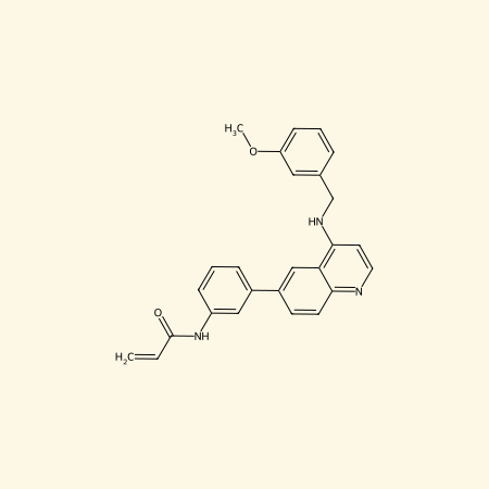 C=CC(=O)Nc1cccc(-c2ccc3nccc(NCc4cccc(OC)c4)c3c2)c1